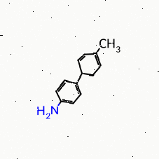 CC1=CCC(c2ccc(N)cc2)C=C1